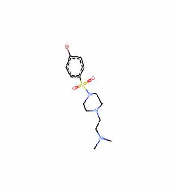 CN(C)CCN1CCN(S(=O)(=O)c2ccc(Br)cc2)CC1